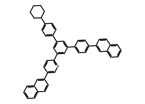 c1ccc2cc(-c3ccc(-c4cc(-c5ccc(C6CCCCC6)cc5)cc(-c5ccc(-c6ccc7ccccc7c6)cn5)c4)cc3)ccc2c1